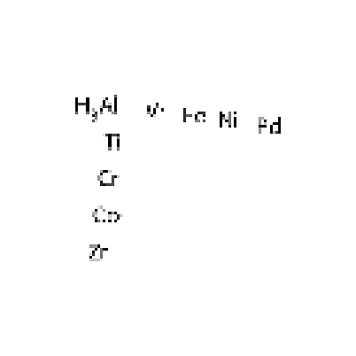 [AlH3].[Co].[Cr].[Fe].[Ni].[Pd].[Ti].[V].[Zr]